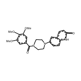 COc1cc(C(=O)N2CCN(c3ccc4[nH]c(=O)ccc4c3)CC2)cc(OC)c1OC